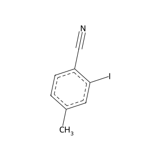 Cc1ccc(C#N)c(I)c1